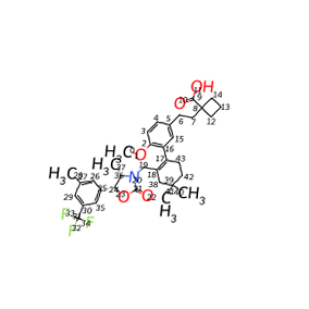 COc1ccc(CCC2(C(=O)O)CCC2)cc1C1=C(CN2C(=O)O[C@H](c3cc(C)cc(C(F)(F)F)c3)[C@@H]2C)CC(C)(C)CC1